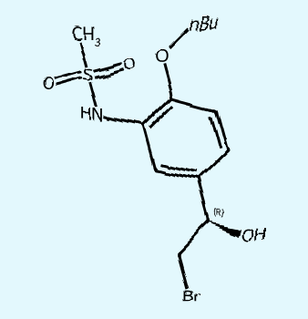 CCCCOc1ccc([C@@H](O)CBr)cc1NS(C)(=O)=O